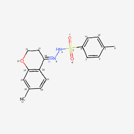 Cc1ccc(S(=O)(=O)N/N=C2\CCOc3cc(C#N)ccc32)cc1